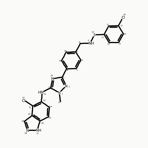 Cn1nc(-c2ccc(CNSc3cccc(Cl)c3)cc2)nc1Nc1ccc2[nH]ncc2c1Cl